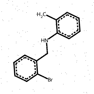 [CH2]c1ccccc1NCc1ccccc1Br